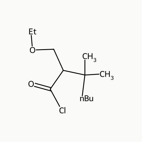 CCCCC(C)(C)C(COCC)C(=O)Cl